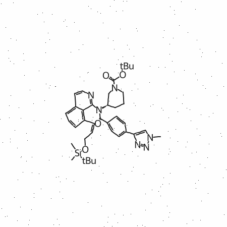 Cn1cc(-c2ccc(C(=O)N(c3nccc4cccc(/C=C\CO[Si](C)(C)C(C)(C)C)c34)[C@@H]3CCCN(C(=O)OC(C)(C)C)C3)cc2)nn1